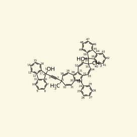 CC1(C#CC2(O)c3ccccc3-c3ccccc32)C=Cc2c3c(n(-c4ccccc4)c2C=C1)C=CC(C)(C1(O)c2ccccc2-c2ccccc21)C=C3